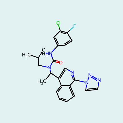 CC(C)CN(C(=O)Nc1ccc(F)c(Cl)c1)C(C)c1cnc(-n2ccnn2)c2ccccc12